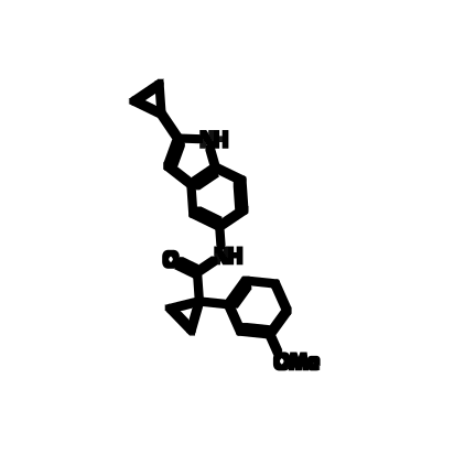 COC1=CC(C2(C(=O)Nc3ccc4[nH]c(C5CC5)cc4c3)CC2)=CCC1